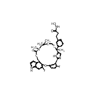 CN1CC(C)(C)CCCC(C)(c2cccc(CCC(=O)NO)c2)c2cnc([nH]2)-c2cc(ccc2F)Oc2c(F)cc3[nH]ccc3c2CCC1=O